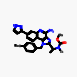 CCN(C(=O)OC(C)(C)C)C(C)c1nc2c(N)nc3cc(-c4cc[nH]n4)ccc3c2n1Cc1ccc(OC)cc1